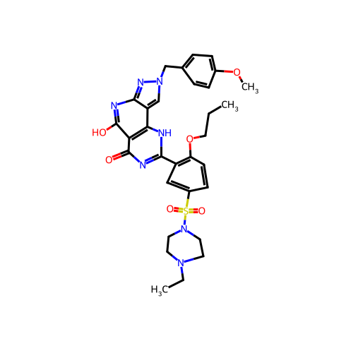 CCCOc1ccc(S(=O)(=O)N2CCN(CC)CC2)cc1-c1nc(=O)c2c(O)nc3nn(Cc4ccc(OC)cc4)cc3c2[nH]1